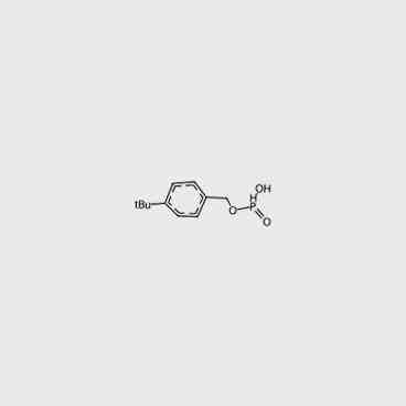 CC(C)(C)c1ccc(CO[PH](=O)O)cc1